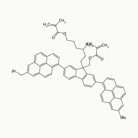 C=C(C)C(=O)OCCCC(C)CCC1(COC(=O)C(=C)C)c2cc(-c3ccc4ccc5cc(CC(C)C)cc6ccc3c4c56)ccc2-c2ccc(-c3ccc4ccc5cc(C(C)(C)C)cc6ccc3c4c56)cc21